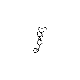 Cc1nc(N2CCC(CN3CCCC3)CC2)ccc1C=O